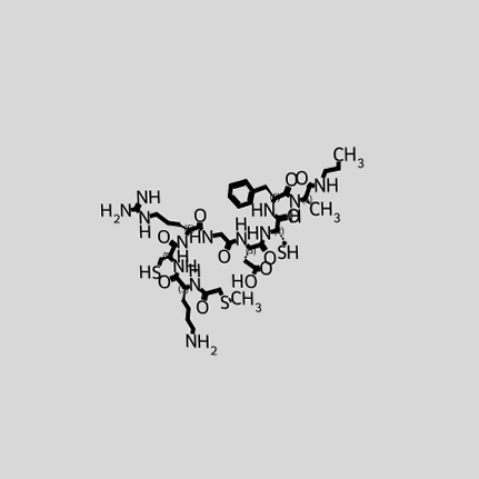 CCCNC(=O)[C@H](C)NC(=O)[C@H](Cc1ccccc1)NC(=O)[C@H](CS)NC(=O)[C@H](CC(=O)O)NC(=O)CNC(=O)[C@H](CCCNC(=N)N)NC(=O)[C@H](CS)NC(=O)[C@H](CCCCN)NC(=O)CSC